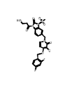 CS(=O)(=O)n1c(=O)n(C(=O)CCO)c2ccc(Cn3ccc(OCc4ccc(F)cc4F)c(Cl)c3=O)cc21